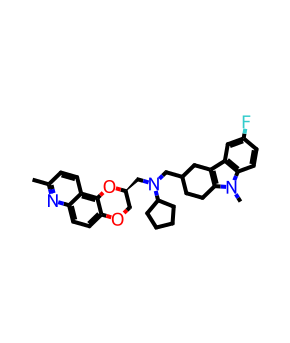 Cc1ccc2c3c(ccc2n1)OC[C@H](CN(CC1CCc2c(c4cc(F)ccc4n2C)C1)C1CCCC1)O3